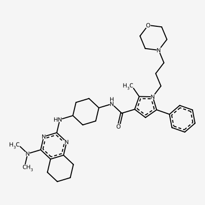 Cc1c(C(=O)NC2CCC(Nc3nc4c(c(N(C)C)n3)CCCC4)CC2)cc(-c2ccccc2)n1CCCN1CCOCC1